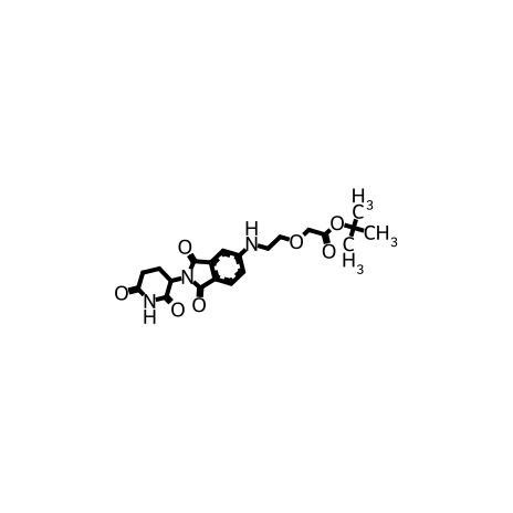 CC(C)(C)OC(=O)COCCNc1ccc2c(c1)C(=O)N(C1CCC(=O)NC1=O)C2=O